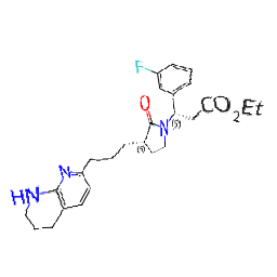 CCOC(=O)C[C@@H](c1cccc(F)c1)N1CC[C@H](CCCc2ccc3c(n2)NCCC3)C1=O